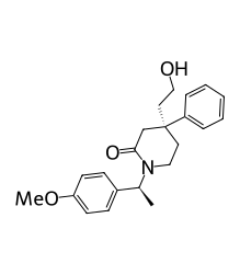 COc1ccc([C@H](C)N2CC[C@](CCO)(c3ccccc3)CC2=O)cc1